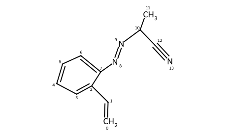 C=Cc1ccccc1N=NC(C)C#N